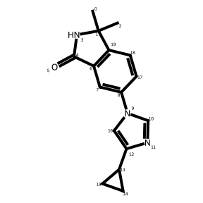 CC1(C)NC(=O)c2cc(-n3cnc(C4CC4)c3)ccc21